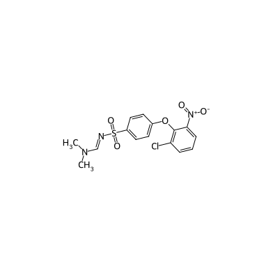 CN(C)/C=N/S(=O)(=O)c1ccc(Oc2c(Cl)cccc2[N+](=O)[O-])cc1